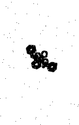 CC(ON1C(=O)OC(Cc2ccccc2)C2CCCCC21)c1ccccc1